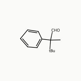 CC(C)(C)C(C)([13CH]=O)c1ccccc1